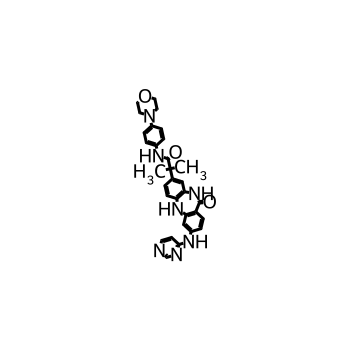 CC(C)(C(=O)Nc1ccc(N2CCOCC2)cc1)c1ccc2c(c1)NC(=O)c1ccc(Nc3ccncn3)cc1N2